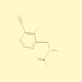 CN(Cc1cccc(C#N)c1F)C(=O)O